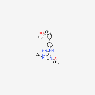 CC(=O)N1CCC(NCC2CC2)=C(C(=N)Nc2ccc(-c3cccc(C(C)(C)O)c3)cc2)C1